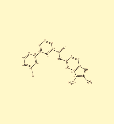 Cc1[nH]c2ccc(NC(=O)c3cccc(-c4ccnc(F)c4)n3)cc2c1C